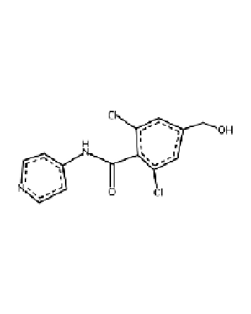 O=C(Nc1ccncc1)c1c(Cl)cc(CO)cc1Cl